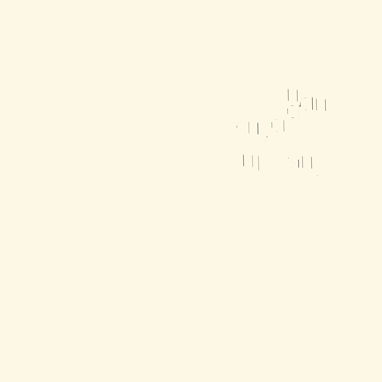 Cl.Cl.[CH3][Hf]([CH3])(=[SiH2])([C]1=CC(c2cccc3ccccc23)=CC1)[C]1=CC(c2cccc3ccccc23)=CC1